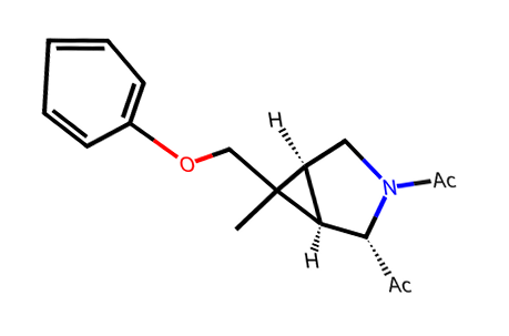 CC(=O)[C@@H]1[C@@H]2[C@H](CN1C(C)=O)C2(C)COc1ccccc1